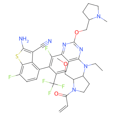 C=CC(=O)N1CCC(N(CC)c2nc(OCC3CCCN3C)nc3c(F)c(-c4ccc(F)c5sc(N)c(C#N)c45)c(C(F)(F)F)cc23)C1COC